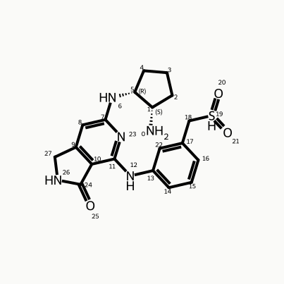 N[C@H]1CCC[C@H]1Nc1cc2c(c(Nc3cccc(C[SH](=O)=O)c3)n1)C(=O)NC2